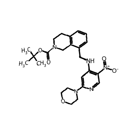 CC(C)(C)OC(=O)N1CCc2cccc(CNc3cc(N4CCOCC4)ncc3[N+](=O)[O-])c2C1